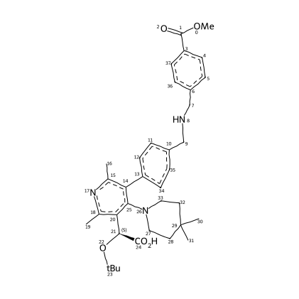 COC(=O)c1ccc(CNCc2ccc(-c3c(C)nc(C)c([C@H](OC(C)(C)C)C(=O)O)c3N3CCC(C)(C)CC3)cc2)cc1